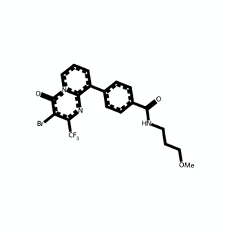 COCCCNC(=O)c1ccc(-c2cccn3c(=O)c(Br)c(C(F)(F)F)nc23)cc1